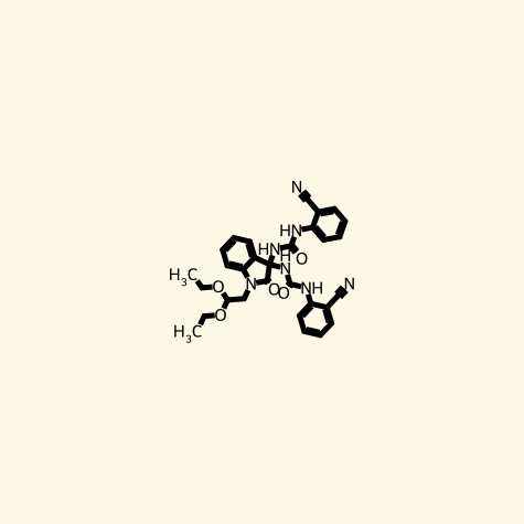 CCOC(CN1C(=O)C(NC(=O)Nc2ccccc2C#N)(NC(=O)Nc2ccccc2C#N)c2ccccc21)OCC